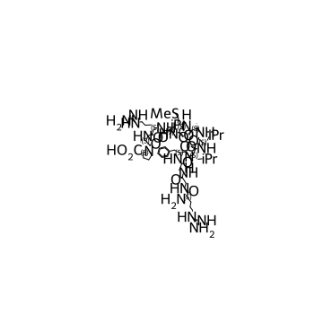 CSCC[C@H](NC(=O)[C@H](C)NC(=O)[C@H](CC(C)C)NC(=O)[C@H](CC(C)C)NC(=O)[C@H](Cc1ccccc1)NC(=O)CNC(=O)CNC(=O)[C@@H](N)CCCNC(=N)N)C(=O)N[C@H](C(=O)N[C@@H](CCCNC(=N)N)C(=O)N[C@@H](C)C(=O)N1CCC[C@H]1C(=O)O)C(C)C